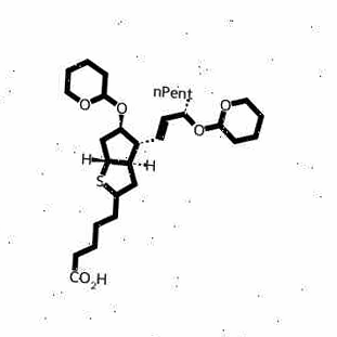 CCCCC[C@@H](/C=C/[C@@H]1[C@H]2CC(CCCCC(=O)O)S[C@@H]2C[C@H]1OC1CCCCO1)OC1CCCCO1